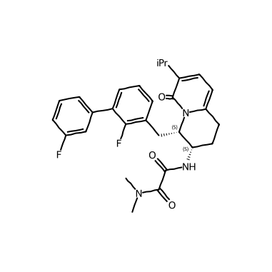 CC(C)c1ccc2n(c1=O)[C@@H](Cc1cccc(-c3cccc(F)c3)c1F)[C@@H](NC(=O)C(=O)N(C)C)CC2